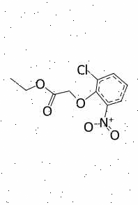 CCOC(=O)COc1c(Cl)cccc1[N+](=O)[O-]